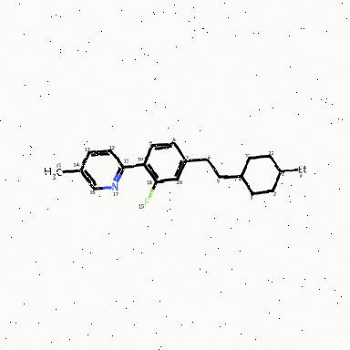 CCC1CCC(CCc2ccc(-c3ccc(C)cn3)c(F)c2)CC1